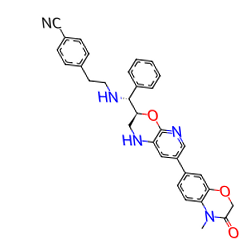 CN1C(=O)COc2cc(-c3cnc4c(c3)NC[C@@H]([C@H](NCCc3ccc(C#N)cc3)c3ccccc3)O4)ccc21